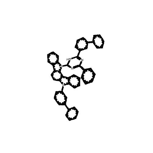 c1ccc(C2=NC(n3c4ccccc4c4ccc5c(c6ccccc6n5-c5cccc(-c6ccccc6)c5)c43)NC(c3cccc(-c4ccccc4)c3)=N2)cc1